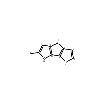 Cc1cc2oc3ccoc3c2o1